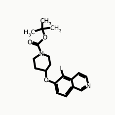 CC(C)(C)OC(=O)N1CCC(Oc2ccc3cnccc3c2I)CC1